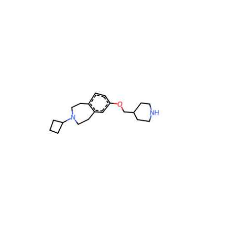 c1cc2c(cc1OCC1CCNCC1)CCN(C1CCC1)CC2